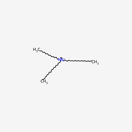 CCCCCCCCCCCCCCCCCCC[n+]1ccn(CCCCCCCCCCCCCC)c1CCCCCCCCCCCCCCCCC